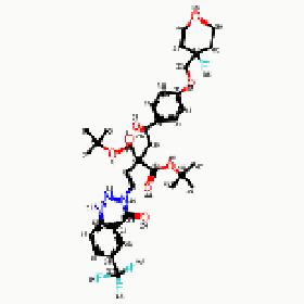 CC(C)(C)OC(=O)C(CCn1nnc2ccc(C(F)(F)F)cc2c1=O)(CC(=O)c1ccc(OCC2(F)CCOCC2)cc1)C(=O)OC(C)(C)C